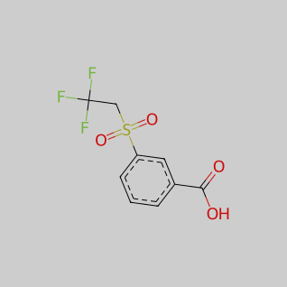 O=C(O)c1cccc(S(=O)(=O)CC(F)(F)F)c1